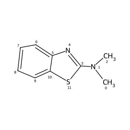 CN(C)c1nc2ccccc2s1